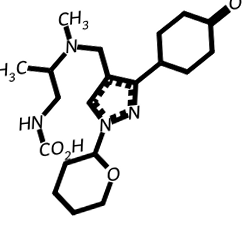 CC(CNC(=O)O)N(C)Cc1cn(C2CCCCO2)nc1C1CCC(=O)CC1